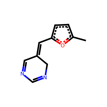 Cc1ccc(C=C2C=NC=NC2)o1